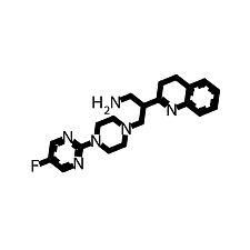 NCC(CN1CCN(c2ncc(F)cn2)CC1)C1=Nc2ccccc2CC1